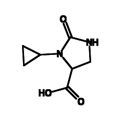 O=C(O)C1CNC(=O)N1C1CC1